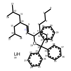 CCCCC(CC)C(/C=C/C(CC(C)C)CC(C)C)OC(c1ccccc1)(c1ccccc1)c1ccccc1.[LiH]